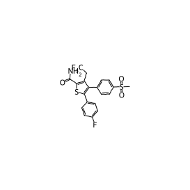 CS(=O)(=O)c1ccc(-c2c(-c3ccc(F)cc3)sc(C(N)=O)c2CC(F)(F)F)cc1